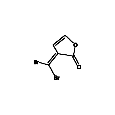 O=C1OC=CC1=C(Br)Br